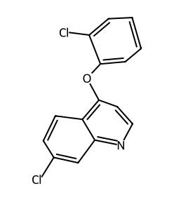 Clc1ccc2c(Oc3ccccc3Cl)ccnc2c1